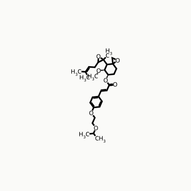 CO[C@H]1C(C2(C)OC2CC=C(C)C)C2(CC[C@H]1OC(=O)/C=C/c1ccc(OCCOC(C)C)cc1)CO2